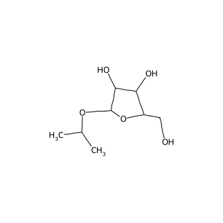 CC(C)OC1OC(CO)C(O)C1O